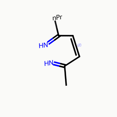 CCCC(=N)/C=C\C(C)=N